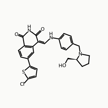 O=C1NC(=O)c2ccc(-c3ccc(Cl)s3)cc2/C1=C/Nc1ccc(CN2CCC[C@H]2CO)cc1